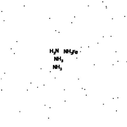 N.N.N.N.[Fe]